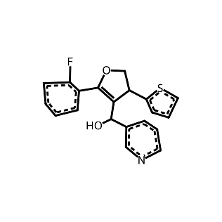 OC(C1=C(c2ccccc2F)OCC1c1cccs1)c1cccnc1